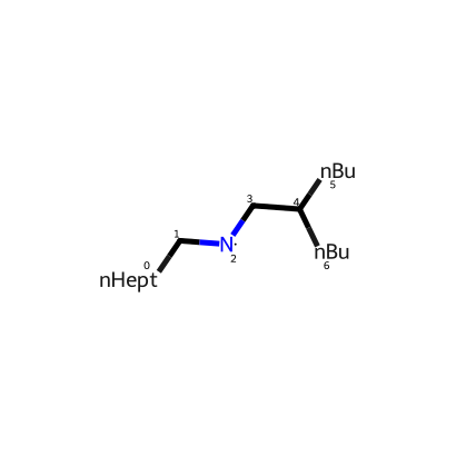 CCCCCCCC[N]CC(CCCC)CCCC